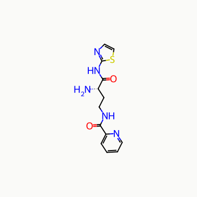 N[C@@H](CCNC(=O)c1ccccn1)C(=O)Nc1nccs1